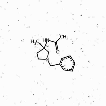 CC(=O)N[C@@]1(C)CCN(Cc2ccccc2)C1